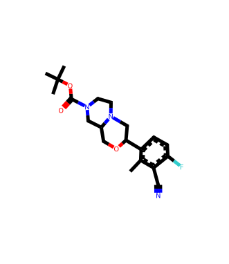 Cc1c(C2CN3CCN(C(=O)OC(C)(C)C)CC3CO2)ccc(F)c1C#N